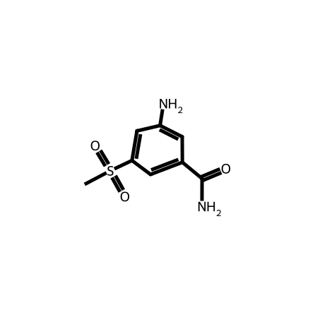 CS(=O)(=O)c1cc(N)cc(C(N)=O)c1